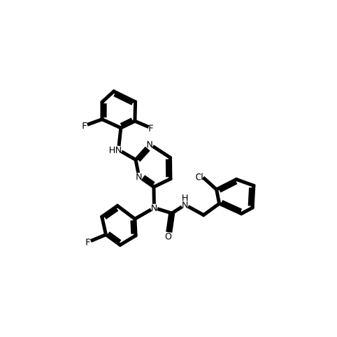 O=C(NCc1ccccc1Cl)N(c1ccc(F)cc1)c1ccnc(Nc2c(F)cccc2F)n1